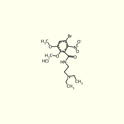 CCN(CC)CCNC(=O)c1c(OC)c(OC)cc(Br)c1[N+](=O)[O-].Cl